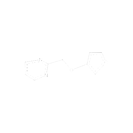 [c]1occc1OCc1ncccn1